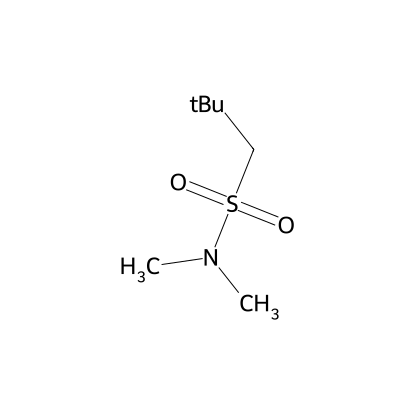 CN(C)S(=O)(=O)CC(C)(C)C